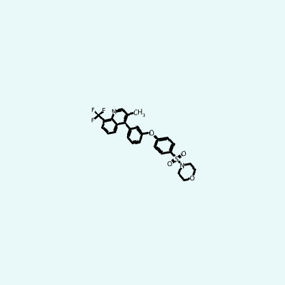 Cc1cnc2c(C(F)(F)F)cccc2c1-c1cccc(Oc2ccc(S(=O)(=O)N3CCOCC3)cc2)c1